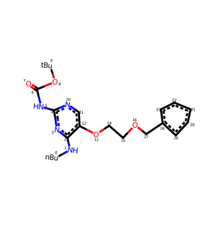 CCCCNc1nc(NC(=O)OC(C)(C)C)ncc1OCCOCc1ccccc1